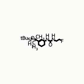 CC(C)(C)[SiH2]OC(C)(C)C1=CC(NC(=O)NCCF)CCC1